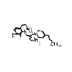 CCCCC1CCN(CC(C)CN2C(=O)CCc3ccc(F)c(F)c32)CC1